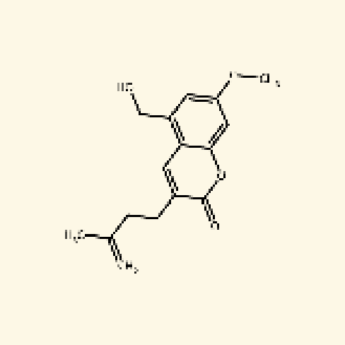 C=C(C)CCc1cc2c(CO)cc(OC)cc2oc1=O